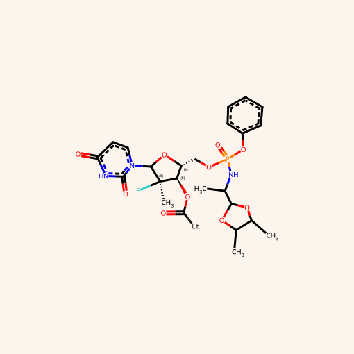 CCC(=O)O[C@@H]1[C@@H](COP(=O)(NC(C)C2OC(C)C(C)O2)Oc2ccccc2)OC(n2ccc(=O)[nH]c2=O)[C@]1(C)F